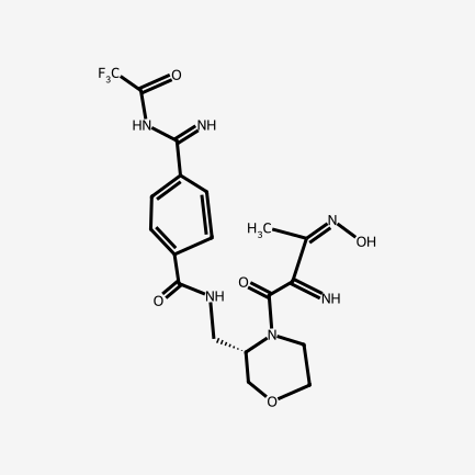 C/C(=N/O)C(=N)C(=O)N1CCOC[C@@H]1CNC(=O)c1ccc(C(=N)NC(=O)C(F)(F)F)cc1